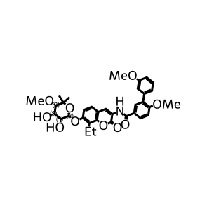 CCc1c(O[C@@H]2OC(C)(C)[C@H](OC)[C@@H](O)[C@@H]2O)ccc2cc(NC(=O)c3ccc(OC)c(-c4cccc(OC)c4)c3)c(=O)oc12